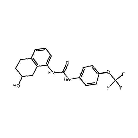 O=C(Nc1ccc(OC(F)(F)F)cc1)Nc1cccc2c1CC(O)CC2